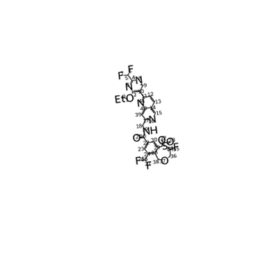 CCOc1nc(C(F)F)ncc1-c1ccc2cnc(CNC(=O)c3cc(C(F)F)c4c(c3)S(=O)(=O)[C@@H](F)COC4)cc2n1